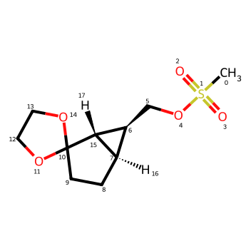 CS(=O)(=O)OC[C@H]1[C@H]2CCC3(OCCO3)[C@@H]21